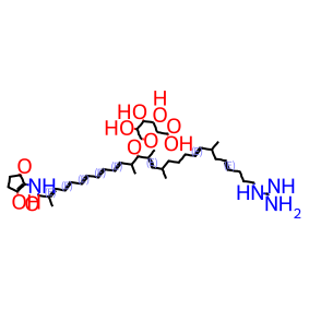 C\C(=C/C=C/C=C/C=C/C=C/C(C)C(OC1OC(C(=O)O)C(O)C(O)C1O)/C(C)=C/C(C)CCC/C=C/C(C)C/C=C/CCCNC(=N)N)C(=O)NC1=C(O)CCC1=O